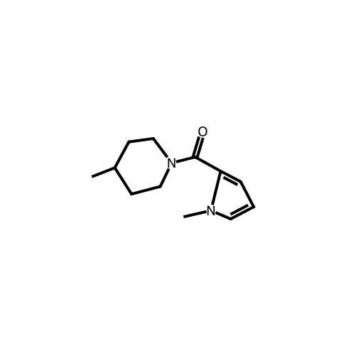 CC1CCN(C(=O)c2cccn2C)CC1